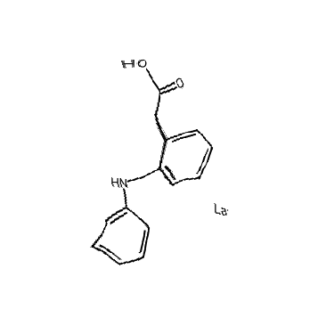 O=C(O)Cc1ccccc1Nc1ccccc1.[La]